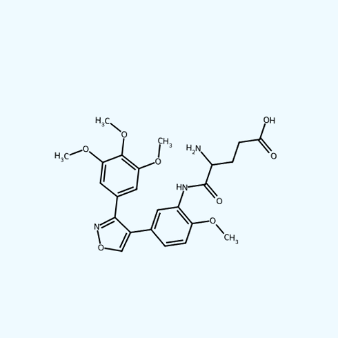 COc1ccc(-c2conc2-c2cc(OC)c(OC)c(OC)c2)cc1NC(=O)C(N)CCC(=O)O